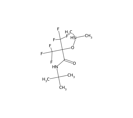 C[SiH](C)OC(C(=O)NC(C)(C)C)(C(F)(F)F)C(F)(F)F